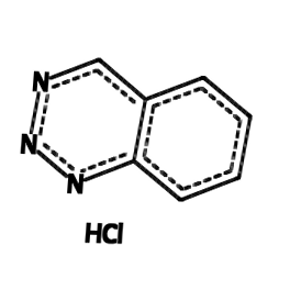 Cl.c1ccc2nnncc2c1